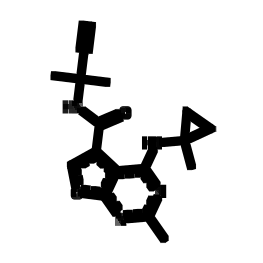 C#CC(C)(C)NC(=O)c1coc2nc(C)nc(NC3(C)CC3)c12